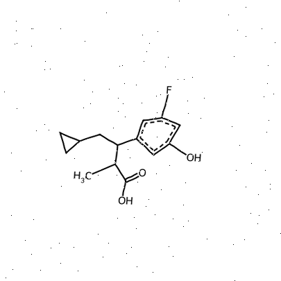 CC(C(=O)O)C(CC1CC1)c1cc(O)cc(F)c1